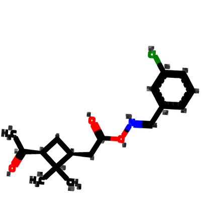 CC(=O)[C@H]1C[C@@H](CC(=O)ON=Cc2cccc(Cl)c2)C1(C)C